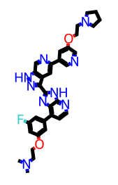 CN(C)CCOc1cc(F)cc(-c2ccnc3[nH]c(-c4n[nH]c5cnc(-c6cncc(OCCN7CCCC7)c6)cc45)nc23)c1